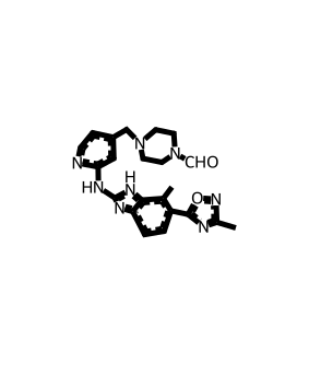 Cc1noc(-c2ccc3nc(Nc4cc(CN5CCN(C=O)CC5)ccn4)[nH]c3c2C)n1